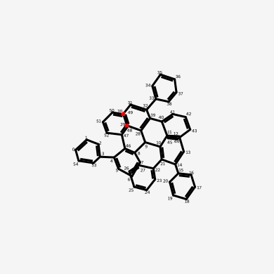 c1ccc(-c2cccc([C](c3cccc(-c4ccccc4)c3-c3ccccc3)c3cccc(-c4ccccc4)c3-c3ccccc3)c2-c2ccccc2)cc1